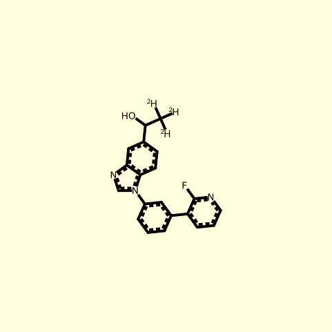 [2H]C([2H])([2H])C(O)c1ccc2c(c1)ncn2-c1cccc(-c2cccnc2F)c1